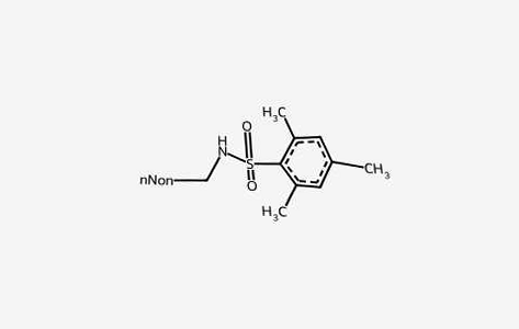 CCCCCCCCCCNS(=O)(=O)c1c(C)cc(C)cc1C